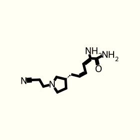 N#CCCN1CC[C@@H](C/C=C\C=C(\N)C(N)=O)C1